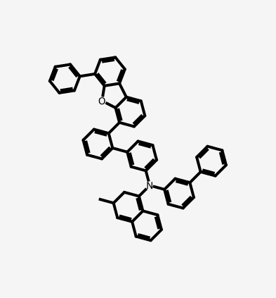 CC1C=c2ccccc2=C(N(c2cccc(-c3ccccc3)c2)c2cccc(-c3ccccc3-c3cccc4c3oc3c(-c5ccccc5)cccc34)c2)C1